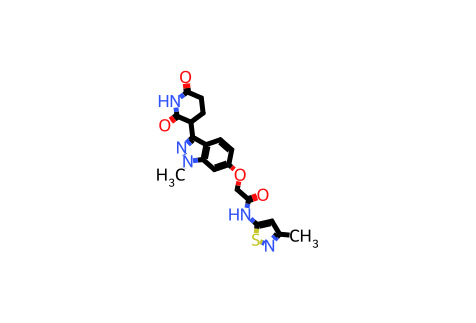 Cc1cc(NC(=O)COc2ccc3c(C4CCC(=O)NC4=O)nn(C)c3c2)sn1